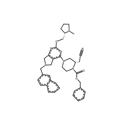 CN1CCC[C@H]1COc1nc2c(c(N3CCN(C(=O)OCc4ccccc4)[C@@H](CC#N)C3)n1)CN(Cc1ccc3ccccc3c1)C2